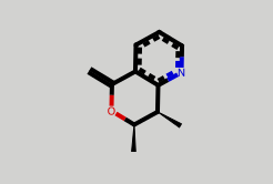 C=C1O[C@H](C)[C@H](C)c2ncccc21